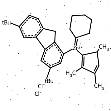 CC1=CC(C)[C]([Zr+2](=[C]2CCCCC2)[c]2cc(C(C)(C)C)cc3c2Cc2ccc(C(C)(C)C)cc2-3)=C1C.[Cl-].[Cl-]